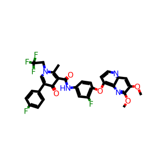 COc1cc2nccc(Oc3ccc(NC(=O)c4c(C)n(CC(F)(F)F)cc(-c5ccc(F)cc5)c4=O)cc3F)c2nc1OC